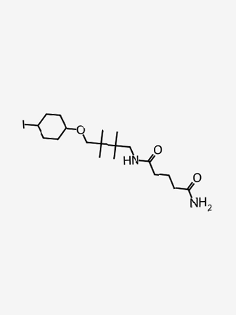 CC(C)(CNC(=O)CCCC(N)=O)C(C)(C)COC1CCC(I)CC1